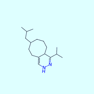 CC(C)CC1CCCC2C(=CNN=C2C(C)C)CC1